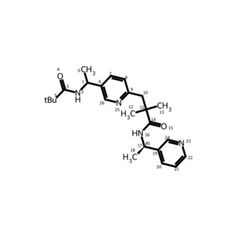 CC(NC(=O)C(C)(C)C)c1ccc(CC(C)(C)C(=O)N[C@H](C)c2cccnc2)nc1